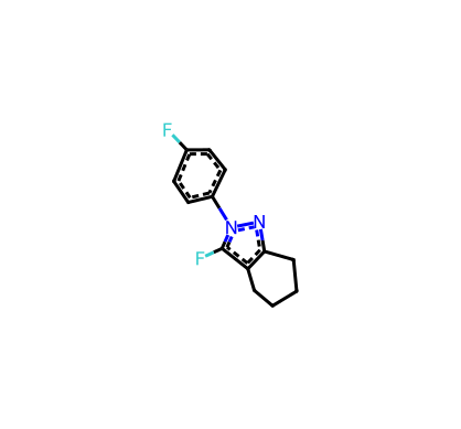 Fc1ccc(-n2nc3c(c2F)CCCC3)cc1